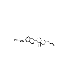 C=CCC[C@@H]1CC[C@@H]2CC(C3CCc4cc(CCCCCC)ccc4C3)CCC2C1